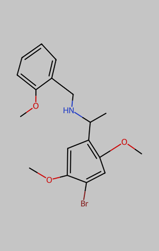 COc1cc(C(C)NCc2ccccc2OC)c(OC)cc1Br